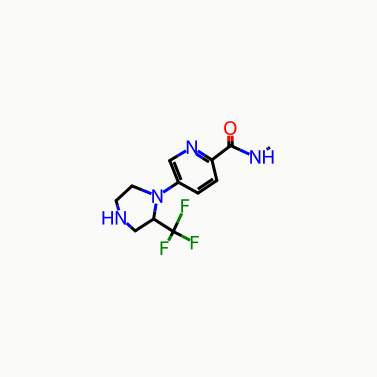 CNC(=O)c1ccc(N2CCNCC2C(F)(F)F)cn1